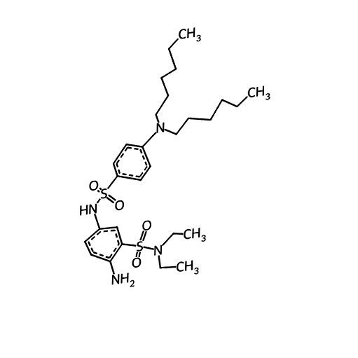 CCCCCCN(CCCCCC)c1ccc(S(=O)(=O)Nc2ccc(N)c(S(=O)(=O)N(CC)CC)c2)cc1